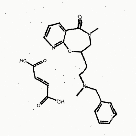 CN(CCC1CN(C)C(=O)c2cccnc2O1)Cc1ccccc1.O=C(O)C=CC(=O)O